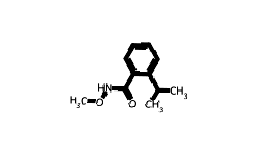 CONC(=O)c1ccccc1C(C)C